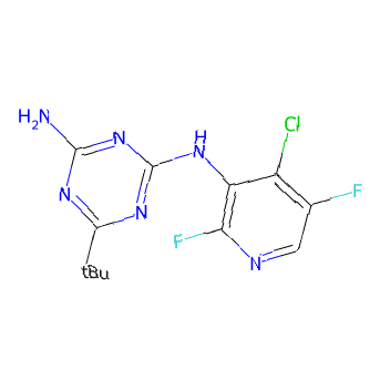 CC(C)(C)c1nc(N)nc(Nc2c(F)ncc(F)c2Cl)n1